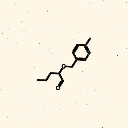 CCCC(C=O)OCc1ccc(C)cc1